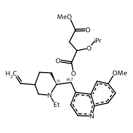 C=CC1CC[C@@H]([C@H](OC(=O)C(CC(=O)OC)OC(C)C)c2ccnc3ccc(OC)cc23)N(CC)C1